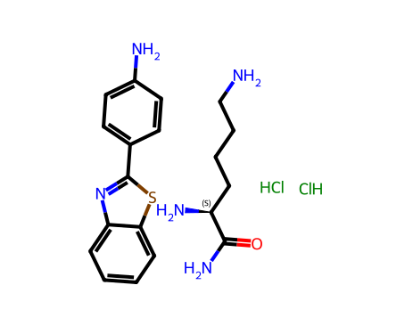 Cl.Cl.NCCCC[C@H](N)C(N)=O.Nc1ccc(-c2nc3ccccc3s2)cc1